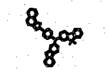 CC1(C)c2ccccc2-c2ccc(N(c3ccc(-c4nc5ccc6ccccc6c5o4)cc3)c3ccc4c(c3)sc3ccccc34)cc21